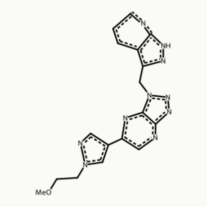 COCCn1cc(-c2cnc3nnn(Cc4n[nH]c5ncccc45)c3n2)cn1